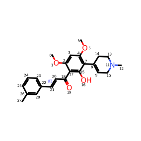 COc1cc(OC)c(C2=CCN(C)CC2)c(O)c1C(=O)/C=C/c1cccc(C)c1